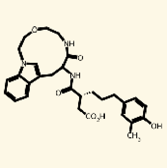 Cc1cc(CCC[C@H](CC(=O)O)C(=O)NC2Cc3cn(c4ccccc34)CCOCCNC2=O)ccc1O